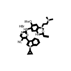 Br.C=CC(=O)Nc1cc(Nc2ncc(C#N)c(-c3cn(C4CC4)c4ccccc34)n2)c(OC)cc1N(C)CCN(C)C